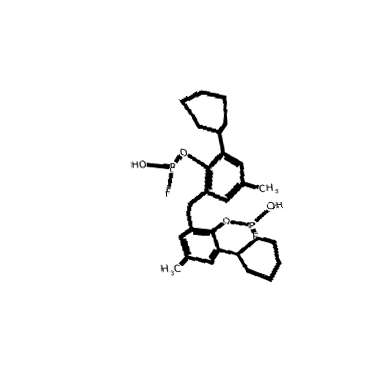 Cc1cc(Cc2cc(C)cc(C3CCCCC3)c2OP(O)F)c(OP(O)F)c(C2CCCCC2)c1